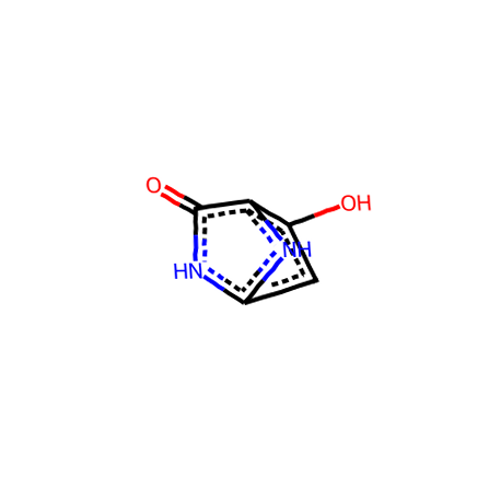 O=c1[nH]c2cc(O)c1[nH]2